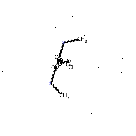 CCCCCCCC/C=C\CCCCCCCC(=O)OCC(COC(=O)CCCCCCC/C=C\CCCCCCCC)OC(=O)CCC(=O)OCCl